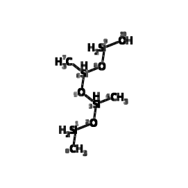 C[SiH2]O[SiH](C)O[SiH](C)O[SiH2]O